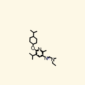 CCN(C)/C=N/c1cc(C(C)C)c(OC2CCC(C(C)C)CC2)nc1C